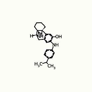 CC(C)c1ccc(Nc2cc3c(cc2O)[C@@]24CCCC[C@H]2[C@@H](C3)NCC4)cc1